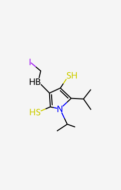 CC(C)c1c(S)c(BCI)c(S)n1C(C)C